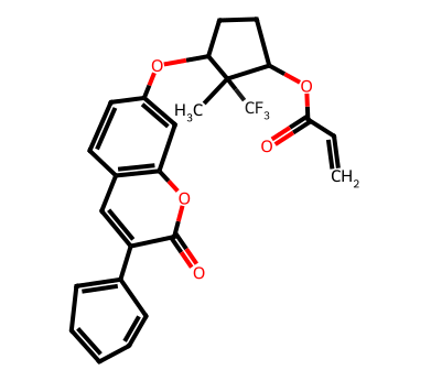 C=CC(=O)OC1CCC(Oc2ccc3cc(-c4ccccc4)c(=O)oc3c2)C1(C)C(F)(F)F